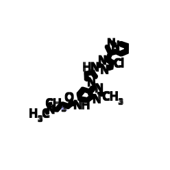 Cc1nc(N2CC[C@@H](Nc3ncc(Cl)c(-c4cnn5ccccc45)n3)C2)c2ccc(NC(=O)/C=C/CN(C)C)cc2n1